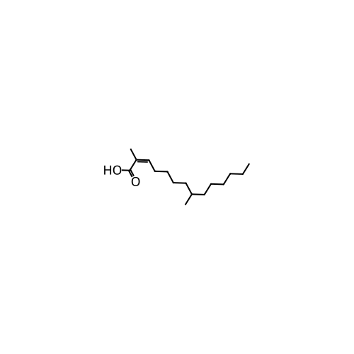 CCCCCCC(C)CCCCC=C(C)C(=O)O